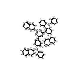 c1ccc(-n2c3ccccc3c3c(-c4nc(-c5ccc6ccccc6c5)nc(-c5ccc(-n6c7ccccc7c7cc8ccccc8cc76)c6oc7cc8ccccc8cc7c56)n4)cccc32)cc1